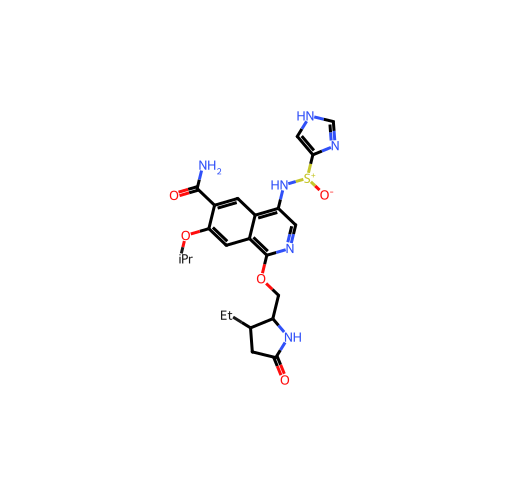 CCC1CC(=O)NC1COc1ncc(N[S+]([O-])c2c[nH]cn2)c2cc(C(N)=O)c(OC(C)C)cc12